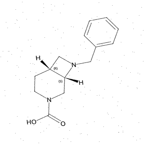 O=C(O)N1CC[C@@H]2CN(Cc3ccccc3)[C@@H]2C1